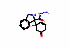 NNC(=O)C1(C2(O)C=CCC(=O)C2)NCc2ccccc21